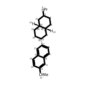 CCCC1CC[C@@H]2C[C@H](c3ccc4cc(OC)ccc4c3)CC[C@@H]2C1